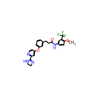 COc1ccc(NC(=O)CCc2cccc(Oc3ccnc(C4=NCCN4)c3)c2)cc1C(F)(F)F